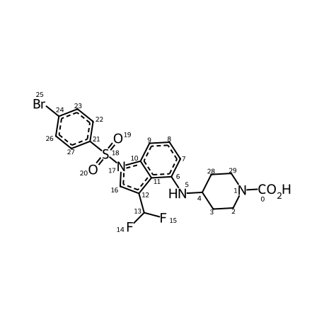 O=C(O)N1CCC(Nc2cccc3c2c(C(F)F)cn3S(=O)(=O)c2ccc(Br)cc2)CC1